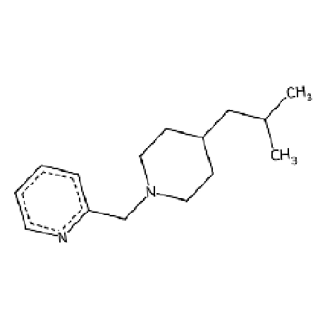 CC(C)CC1CCN(Cc2ccccn2)CC1